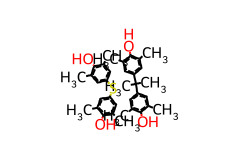 Cc1cc(C(C)(C)c2cc(C)c(O)c(C)c2)cc(C)c1O.Cc1cc(Sc2cc(C)c(O)c(C)c2)cc(C)c1O